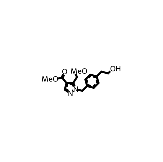 COCc1c(C(=O)OC)cnn1Cc1ccc(CCO)cc1